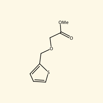 COC(=O)COCc1cccs1